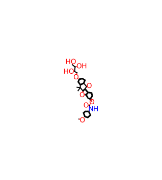 COc1ccc(NC(=O)Oc2ccc3c4c(oc3c2)C(C)(C)c2cc(OC[C@@H](O)C(O)CO)ccc2C4=O)cc1